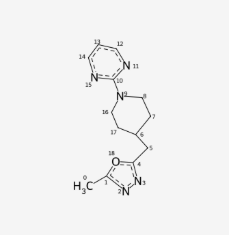 Cc1nnc(CC2CCN(c3ncccn3)CC2)o1